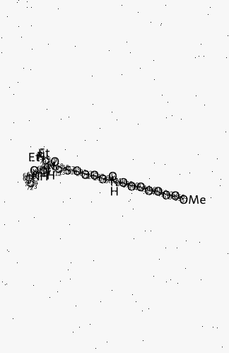 CCN(CC)c1ccc(NC(=O)c2cccc(CSCCOCCOCCOCCOCCC(=O)NCCOCCOCCOCCOCCOCCOCCOCCOC)c2)c(-c2cc(C(=O)NC3CCCc4ccccc43)ccn2)c1